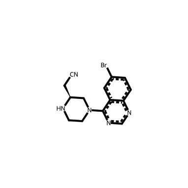 N#CC[C@H]1CN(c2ncnc3ccc(Br)cc23)CCN1